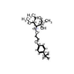 CC[C@H](OC)/C(=N/OCCOc1ccc(C(F)(F)F)cc1)[C@@H](O)[C@@H](C)O